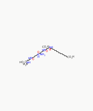 BNC(CCCCNC(=O)CCCCCNC(=O)C(N)CCCCNC(=O)CC[C@H](NC(=O)CCCCCCCCCCCCCCCCC(=O)O)C(=O)O)C(=O)O